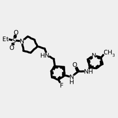 CCS(=O)(=O)N1CCC(CNCc2ccc(F)c(NC(=O)Nc3ccc(C)nc3)c2)CC1